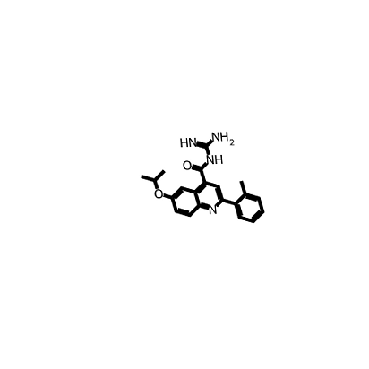 Cc1ccccc1-c1cc(C(=O)NC(=N)N)c2cc(OC(C)C)ccc2n1